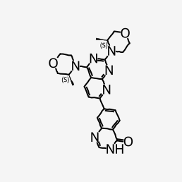 C[C@H]1COCCN1c1nc(N2CCOC[C@@H]2C)c2ccc(-c3ccc4c(=O)[nH]cnc4c3)nc2n1